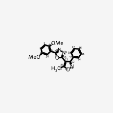 COc1ccc(OC)c(-c2nnc(-c3c(-c4ccccc4)noc3C)o2)c1